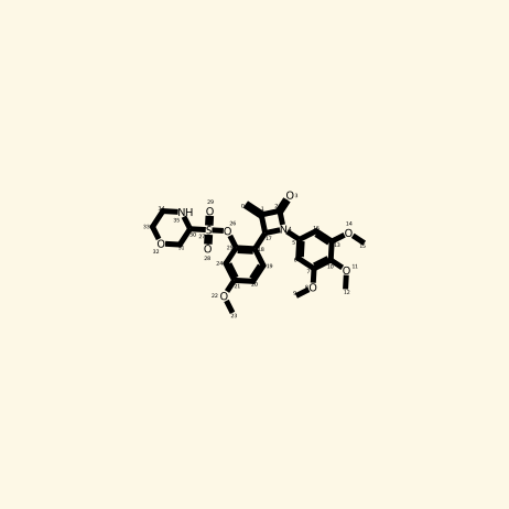 C=C1C(=O)N(c2cc(OC)c(OC)c(OC)c2)C1c1ccc(OC)cc1OS(=O)(=O)C1COCCN1